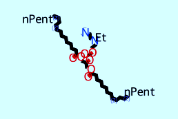 CCCCC/C=C\C/C=C\CCCCCCCC(=O)OCC(COC(=O)CCCCCCC/C=C\C/C=C\CCCCC)OC(=O)OCCN(CC)CCN(C)C